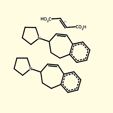 C1=CC(N2CCCC2)CCc2ccccc21.C1=CC(N2CCCC2)CCc2ccccc21.O=C(O)/C=C/C(=O)O